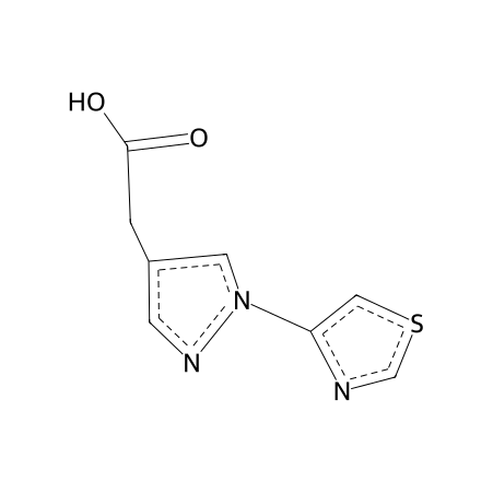 O=C(O)Cc1cnn(-c2cscn2)c1